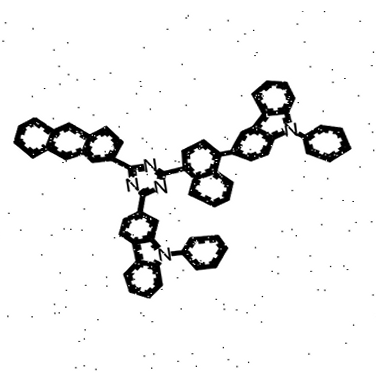 c1ccc(-n2c3ccccc3c3cc(-c4ccc(-c5nc(-c6ccc7cc8ccccc8cc7c6)nc(-c6ccc7c8ccccc8n(-c8ccccc8)c7c6)n5)c5ccccc45)ccc32)cc1